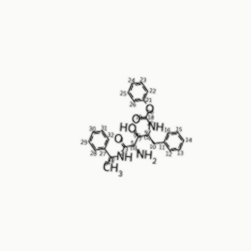 C[C@H](NC(=O)[C@@H](N)[C@@H](O)[C@H](Cc1ccccc1)NC(=O)Oc1ccccc1)c1ccccc1